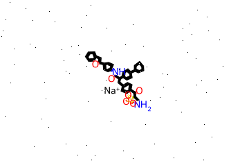 NCC(C(=O)c1ccc(CC(C(=O)Nc2ccc(-c3cc4ccccc4o3)cc2)c2ccc(C3=CCCCC3)cc2)cc1)S(=O)(=O)[O-].[Na+]